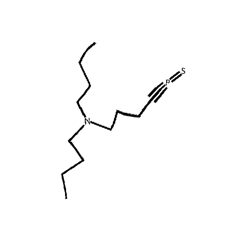 CCCCN(CCCC)CCCC#P=S